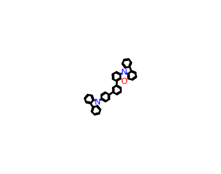 c1cc(-c2ccc(-n3c4ccccc4c4ccccc43)cc2)cc(-c2cccc3c2Oc2cccc4c5ccccc5n-3c24)c1